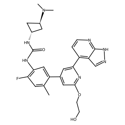 Cc1cc(F)c(NC(=O)N[C@H]2C[C@H](N(C)C)C2)cc1-c1cc(OCCO)nc(-c2ccnc3[nH]ncc23)c1